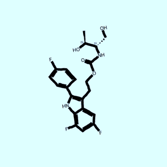 C[C@H](O)[C@H](CO)NC(=O)OCCc1c(-c2ccc(F)cc2)[nH]c2c(F)cc(F)cc12